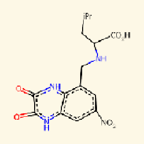 CC(C)CC(NCc1cc([N+](=O)[O-])cc2[nH]c(=O)c(=O)[nH]c12)C(=O)O